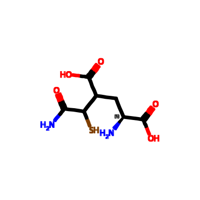 NC(=O)C(S)C(C[C@H](N)C(=O)O)C(=O)O